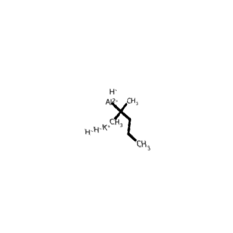 CCC[C](C)(C)[Al+2].[H-].[H-].[H-].[K+]